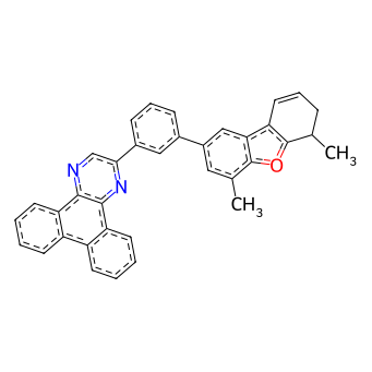 Cc1cc(-c2cccc(-c3cnc4c5ccccc5c5ccccc5c4n3)c2)cc2c3c(oc12)C(C)CC=C3